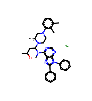 Cc1cccc(N2CCN(C(CC(C)O)N(C)c3ncnc4c3nc(-c3ccccc3)n4-c3ccccc3)[C@H](C)C2)c1C.Cl